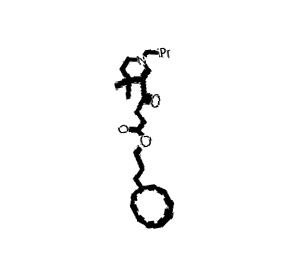 CC(C)CN1C=C(C(=O)CCC(=O)OCCCc2ccccccccc2)C(C)(C)CC1